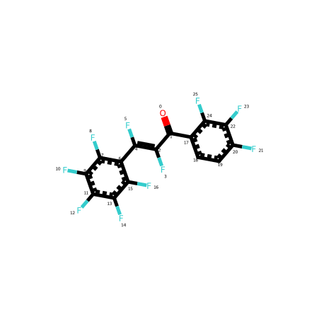 O=C(C(F)=C(F)c1c(F)c(F)c(F)c(F)c1F)c1ccc(F)c(F)c1F